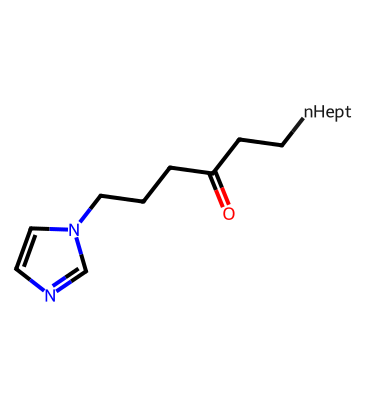 CCCCCCCCCC(=O)CCCn1ccnc1